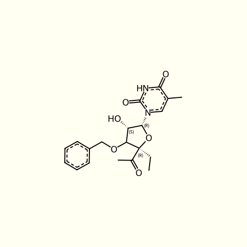 CC[C@@]1(C(C)=O)O[C@@H](n2cc(C)c(=O)[nH]c2=O)[C@@H](O)C1OCc1ccccc1